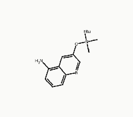 CC(C)(C)[Si](C)(C)Oc1cnc2cccc(N)c2c1